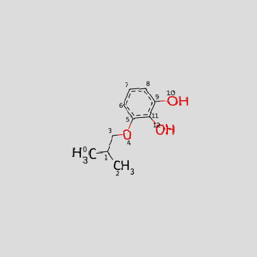 CC(C)COc1cccc(O)c1O